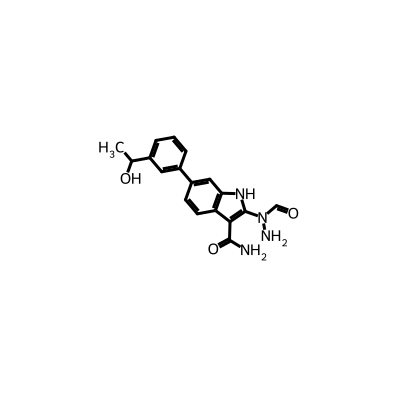 CC(O)c1cccc(-c2ccc3c(C(N)=O)c(N(N)C=O)[nH]c3c2)c1